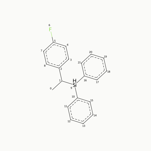 CC(c1ccc(F)cc1)[SiH](c1ccccc1)c1ccccc1